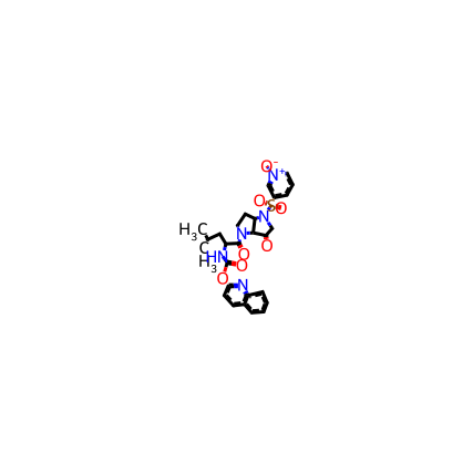 CC(C)CC(NC(=O)Oc1ccc2ccccc2n1)C(=O)N1CCC2C1C(=O)CN2S(=O)(=O)c1ccc[n+]([O-])c1